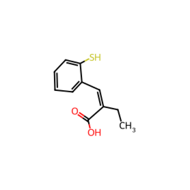 CCC(=Cc1ccccc1S)C(=O)O